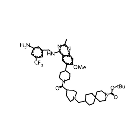 COc1cc2nc(C)nc(NCc3cc(N)cc(C(F)(F)F)c3)c2cc1C1CCN(C(=O)C2CCN(CC3CCC4(CC3)CCN(C(=O)OC(C)(C)C)CC4)CC2)CC1